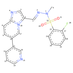 CN(N=Cc1cnc2ccc(-c3cccnc3)cn12)S(=O)(=O)c1ccccc1F